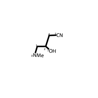 CNCC(O)CC#N